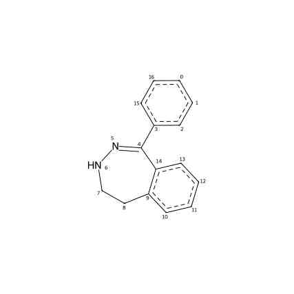 c1ccc(C2=NNCCc3ccccc32)cc1